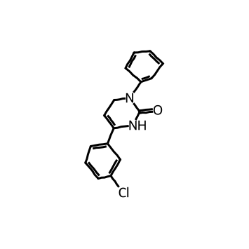 O=C1NC(c2cccc(Cl)c2)=CCN1c1ccccc1